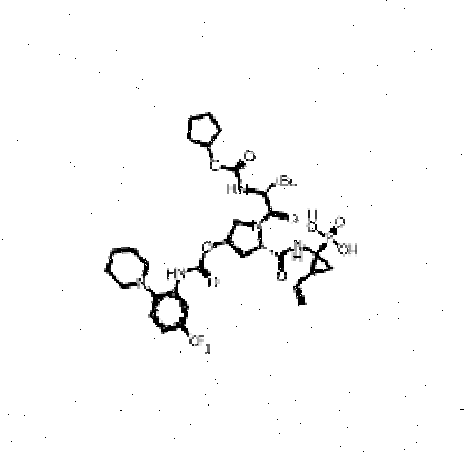 C=CC1CC1(NC(=O)[C@@H]1C[C@@H](OC(=O)Nc2cc(C(F)(F)F)ccc2N2CCCCC2)CN1C(=O)[C@@H](NC(=O)OC1CCCC1)C(C)(C)C)P(=O)(O)O